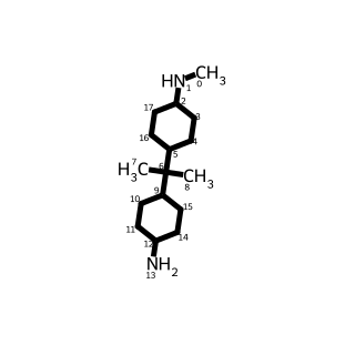 CNC1CCC(C(C)(C)C2CCC(N)CC2)CC1